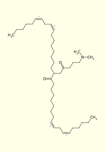 CCCCC/C=C\C/C=C\CCCCCCCC(=O)C(CCCCCCC/C=C\C/C=C\CCCCC)CC(=O)CCCN(C)C